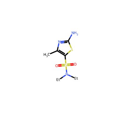 CCN(CC)S(=O)(=O)c1sc(N)nc1C